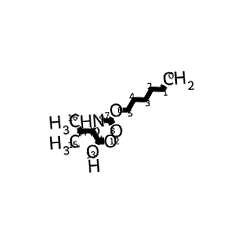 C=CCCCCOC(=O)N[C@H](C(=O)O)C(C)C